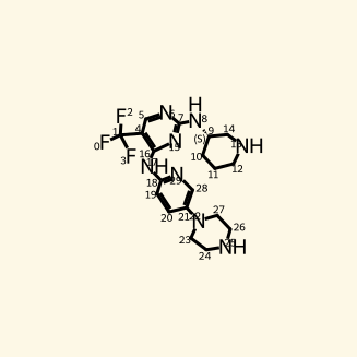 FC(F)(F)c1cnc(N[C@H]2CCCNC2)nc1Nc1ccc(N2CCNCC2)cn1